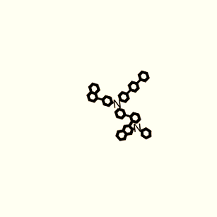 c1ccc(-c2ccc(-c3ccc(N(c4ccc(-c5cccc6ccccc56)cc4)c4cccc(-c5cccc6c5c5cc7ccccc7cc5n6-c5ccccc5)c4)cc3)cc2)cc1